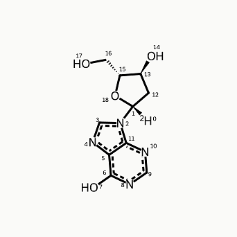 [2H][C@]1(n2cnc3c(O)ncnc32)C[C@H](O)[C@@H](CO)O1